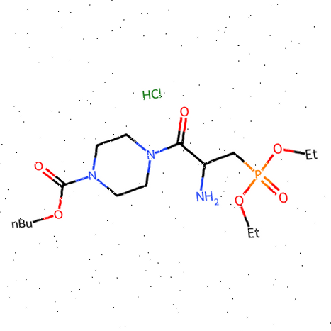 CCCCOC(=O)N1CCN(C(=O)C(N)CP(=O)(OCC)OCC)CC1.Cl